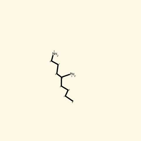 CCCCC(P)CCCN